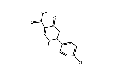 CN1C=C(C(=O)O)C(=O)CC1c1ccc(Cl)cc1